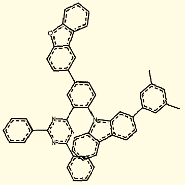 Cc1cc(C)cc(-c2ccc3c4ccccc4n(-c4ccc(-c5ccc6oc7ccccc7c6c5)cc4-c4nc(-c5ccccc5)nc(-c5ccccc5)n4)c3c2)c1